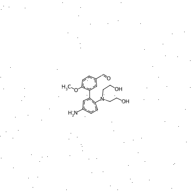 COc1ccc(C=O)cc1-c1cc(N)ccc1N(CCO)CCO